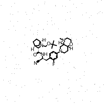 CN1CCO[C@@H]2CCN(c3ccc(C[C@@H](C#N)NC(=O)[C@@H]4[C@H]5CC[C@H](C5)N4COC(C)(C)C)c(F)c3)C[C@@H]21